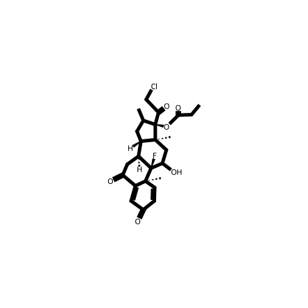 CCC(=O)O[C@]1(C(=O)CCl)C(C)C[C@H]2[C@@H]3CC(=O)C4=CC(=O)C=C[C@]4(C)[C@@]3(F)C(O)C[C@@]21C